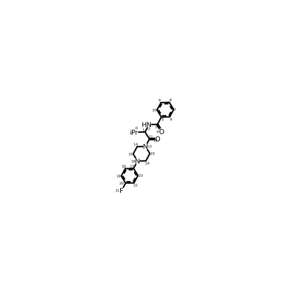 CC(C)C(NC(=O)c1ccccc1)C(=O)N1CCN(c2ccc(F)cc2)CC1